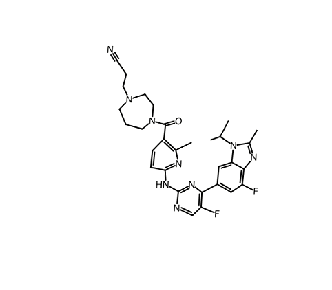 Cc1nc(Nc2ncc(F)c(-c3cc(F)c4nc(C)n(C(C)C)c4c3)n2)ccc1C(=O)N1CCCN(CCC#N)CC1